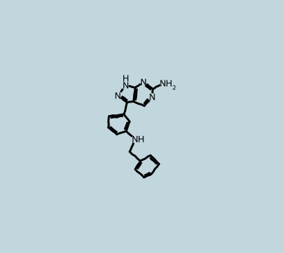 Nc1ncc2c(-c3cccc(NCc4ccccc4)c3)n[nH]c2n1